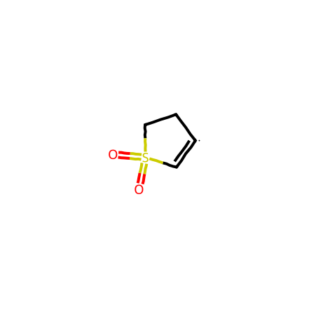 O=S1(=O)C=[C]CC1